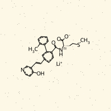 CSCC[C@H](NC(=O)c1ccc(C=Cc2cnccc2O)cc1-c1ccccc1C)C(=O)[O-].[Li+]